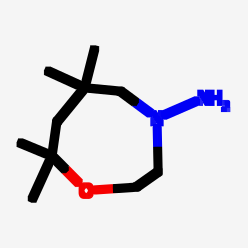 CC1(C)CN(N)CCOC(C)(C)C1